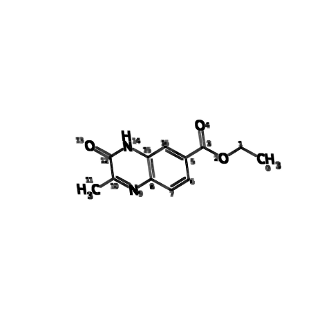 CCOC(=O)c1ccc2nc(C)c(=O)[nH]c2c1